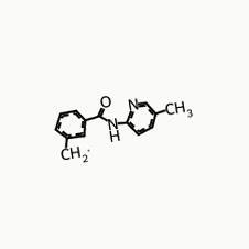 [CH2]c1cccc(C(=O)Nc2ccc(C)cn2)c1